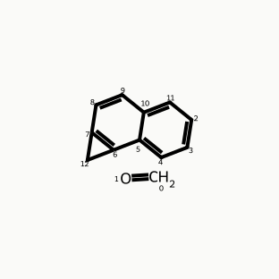 C=O.c1ccc2c3c(ccc2c1)C3